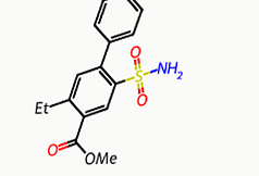 CCc1cc(-c2ccccc2)c(S(N)(=O)=O)cc1C(=O)OC